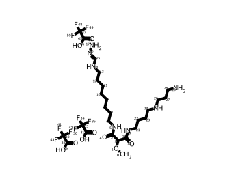 COC(C(=O)NCCCCCCCCNC=NN)C(=O)NCCCCNCCCN.O=C(O)C(F)(F)F.O=C(O)C(F)(F)F.O=C(O)C(F)(F)F